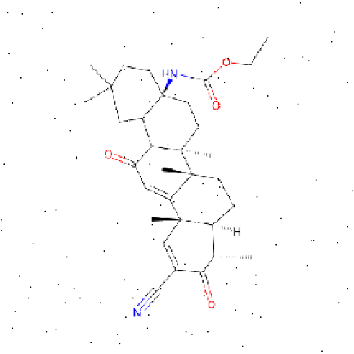 CCOC(=O)N[C@]12CCC(C)(C)CC1C1C(=O)C=C3[C@@]4(C)C=C(C#N)C(=O)[C@@H](C)[C@@H]4CC[C@@]3(C)[C@]1(C)CC2